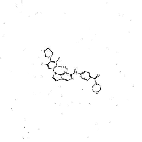 Cc1c(-n2ccc3cnc(Nc4ccc(C(=O)N5CCOCC5)cc4)nc32)cc(F)c(N2CCCC2)c1F